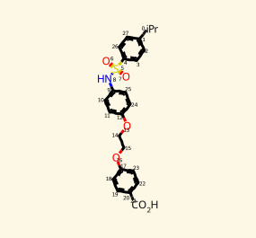 CC(C)c1ccc(S(=O)(=O)Nc2ccc(OCCOc3ccc(C(=O)O)cc3)cc2)cc1